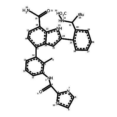 Cc1c(NC(=O)c2nccs2)cccc1-c1ccc(C(N)=O)c2[nH]c(-c3ccccc3C(NC(=O)O)C(C)(C)C)cc12